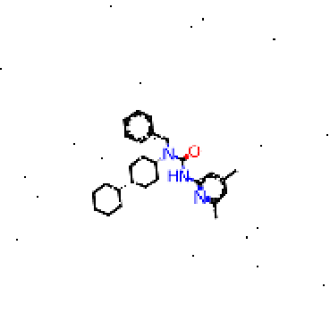 Cc1cc(C)nc(NC(=O)N(Cc2ccccc2)[C@H]2CC[C@@H](C3CCCCC3)CC2)c1